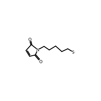 O=C1C=CC(=O)N1CCCCC[S]